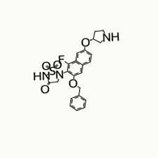 O=C1CN(c2c(OCc3ccccc3)cc3ccc(O[C@H]4CCNC4)cc3c2F)S(=O)(=O)N1